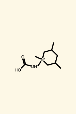 CC1CC(C)C[N+](C)(C)C1.O=C(O)O